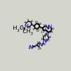 CC(C)N1CCCC(c2ccc(-c3cc4c(N5CCN(CN6CC(C#N)C6)CC5)ccnn4c3)cc2)C1